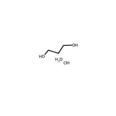 Cl.O.OCCCO